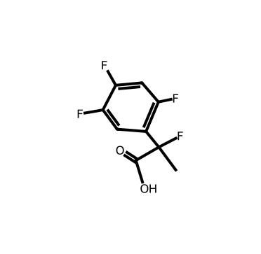 CC(F)(C(=O)O)c1cc(F)c(F)cc1F